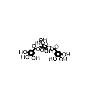 O=C(OC[C@H]1OC(NO)[C@@](O)(COC(=O)c2cc(O)c(O)c(O)c2)[C@@H]1O)c1cc(O)c(O)c(O)c1